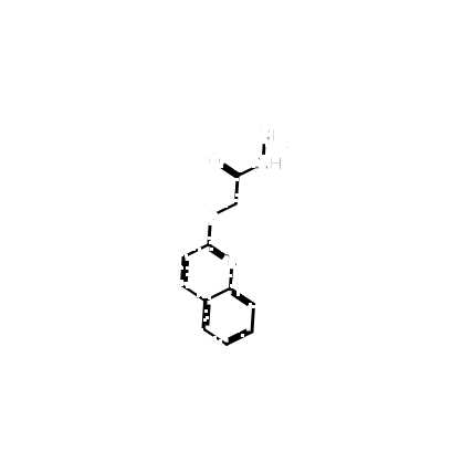 NNC(=O)CSc1ccc2ccccc2n1